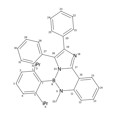 CC(C)c1cccc(C(C)C)c1B1N(C)c2ccccc2-c2nc(-c3ccccc3)c(-c3ccccc3)n21